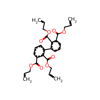 C=CCOC(=O)c1cccc(-c2cccc(C(=O)OCC=C)c2C(=O)OCC=C)c1C(=O)OCC=C